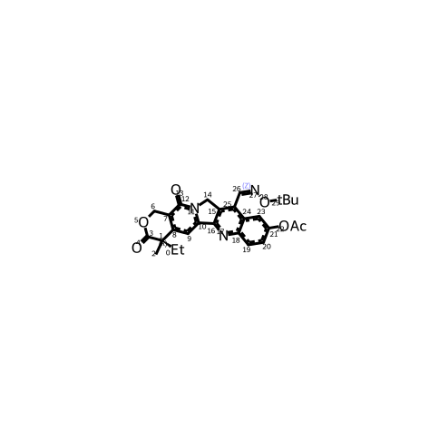 CC[C@@]1(C)C(=O)OCc2c1cc1n(c2=O)Cc2c-1nc1ccc(OC(C)=O)cc1c2/C=N\OC(C)(C)C